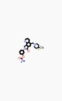 CN(C)C(=O)Oc1cccc(N2Cc3c(cc(CN4CCC(F)(C#N)CC4)c4cccnc34)C2=O)c1